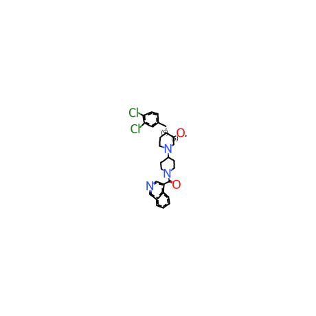 CO[C@@H]1CN(C2CCN(C(=O)c3cncc4ccccc34)CC2)CC[C@@H]1Cc1ccc(Cl)c(Cl)c1